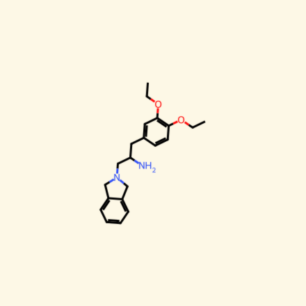 CCOc1ccc(CC(N)CN2Cc3ccccc3C2)cc1OCC